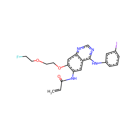 C=CC(=O)Nc1cc2c(Nc3cccc(I)c3)ncnc2cc1OCCOCCF